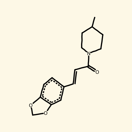 CC1CCN(C(=O)/C=C/c2ccc3c(c2)OCO3)CC1